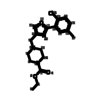 CCOC(=O)N1CCN(Cc2noc(-c3cc(C)ccc3Cl)n2)CC1